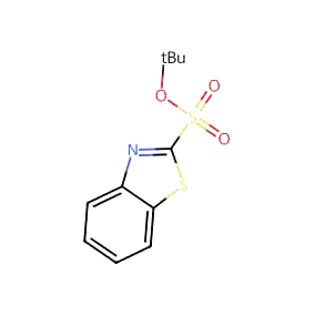 CC(C)(C)OS(=O)(=O)c1nc2ccccc2s1